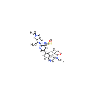 C[C@@H]1C2CN(C)CC2CN1c1ncc(-c2ccc3ncc4c(c3c2)C2(CCC2)C(=O)N4C)cc1N[SH]=O